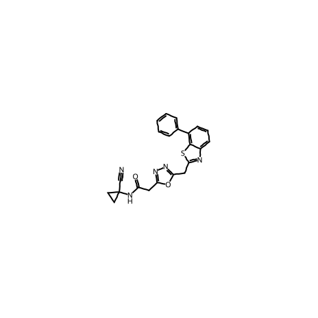 N#CC1(NC(=O)Cc2nnc(Cc3nc4cccc(-c5ccccc5)c4s3)o2)CC1